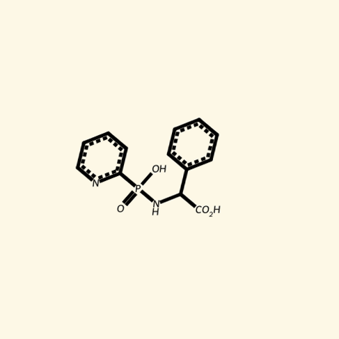 O=C(O)C(NP(=O)(O)c1ccccn1)c1ccccc1